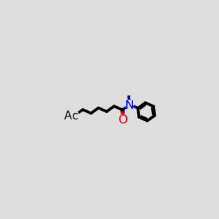 CC(=O)CCCCCC(=O)N(C)c1ccccc1